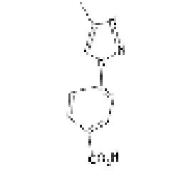 Cc1cn(-c2ccc(C(=O)O)cc2)nn1